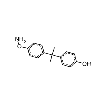 CC(C)(c1ccc(O)cc1)c1ccc(ON)cc1